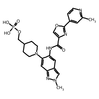 Cc1cc(-c2nc(C(=O)Nc3cc4cn(C)nc4cc3N3CCC(COP(=O)(O)O)CC3)co2)ccn1